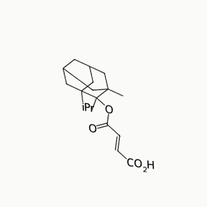 CC(C)C12CC3CC(CC(C)(C3)C1(C)OC(=O)C=CC(=O)O)C2